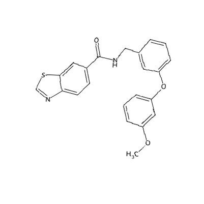 COc1cccc(Oc2cccc(CNC(=O)c3ccc4ncsc4c3)c2)c1